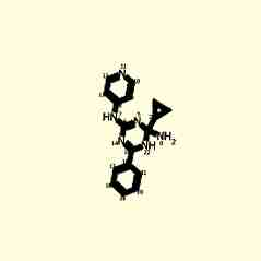 NC1(C2CC2)N=C(Nc2ccncc2)N=C(c2ccccc2)N1